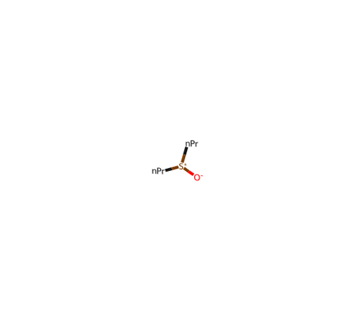 C[CH]C[S+]([O-])CCC